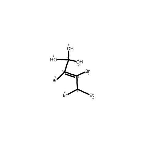 CCC(Br)C(Br)=C(Br)C(O)(O)O